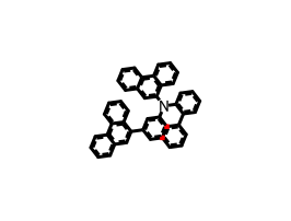 c1ccc(-c2ccccc2N(c2cccc(-c3cc4ccccc4c4ccccc34)c2)c2cc3ccccc3c3ccccc23)cc1